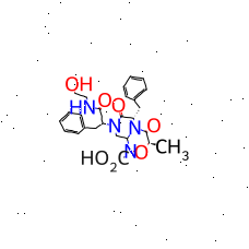 C[C@H]1ON(C(=O)O)C2CN(C(Cc3ccccc3)C(=O)NCCO)C(=O)[C@H](Cc3ccccc3)N2C1=O